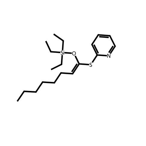 CCCCCCC=C(O[Si](CC)(CC)CC)Sc1ccccn1